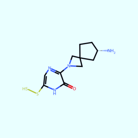 N[C@H]1CCC2(C1)CN(c1ncc(SS)[nH]c1=O)C2